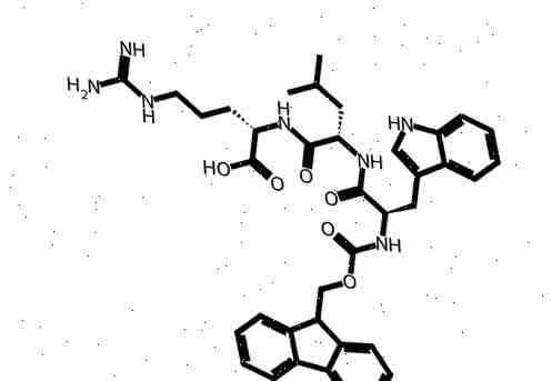 CC(C)C[C@H](NC(=O)[C@@H](Cc1c[nH]c2ccccc12)NC(=O)OCC1c2ccccc2-c2ccccc21)C(=O)N[C@@H](CCCNC(=N)N)C(=O)O